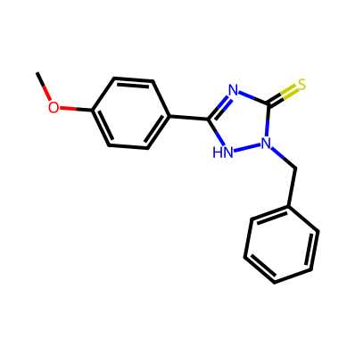 COc1ccc(-c2nc(=S)n(Cc3ccccc3)[nH]2)cc1